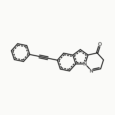 O=C1CC=Nn2c1cc1cc(C#Cc3ccccc3)ccc12